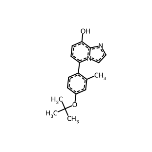 Cc1cc(OC(C)(C)C)ccc1-c1ccc(O)c2nccn12